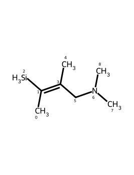 CC([SiH3])=C(C)CN(C)C